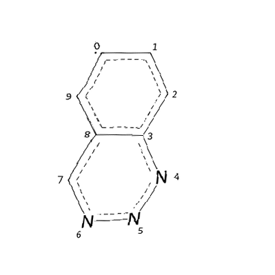 [c]1ccc2nnncc2c1